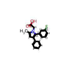 Cc1cc(-c2ccccc2)c(-c2cccc(F)c2)n1CC(=O)O